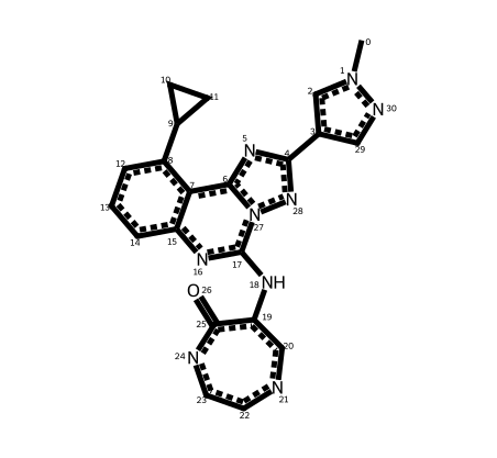 Cn1cc(-c2nc3c4c(C5CC5)cccc4nc(Nc4cnccnc4=O)n3n2)cn1